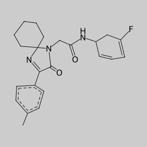 Cc1ccc(C2=NC3(CCCCC3)N(CC(=O)NC3C=CC=C(F)C3)C2=O)cc1